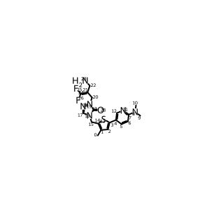 Cc1cc(-c2ccc(N(C)C)nc2)sc1Cn1cnn(CC(CN)=C(F)F)c1=O